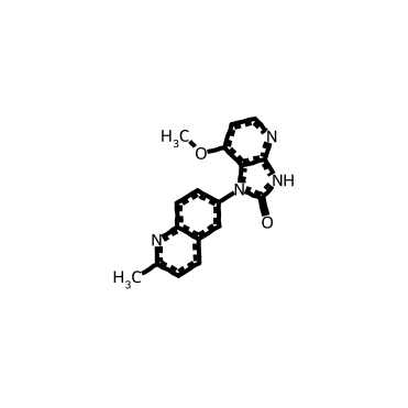 COc1ccnc2[nH]c(=O)n(-c3ccc4nc(C)ccc4c3)c12